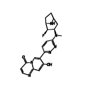 CN(c1ccc(-c2cn3c(=O)ccnc3cc2O)nn1)[C@@H]1CC2CCC(N2)[C@@H]1F